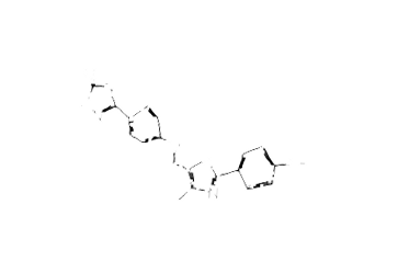 Cc1nc(-c2ccc(C(F)(F)F)cc2)sc1COc1ccc(-c2noc(=O)[nH]2)cc1